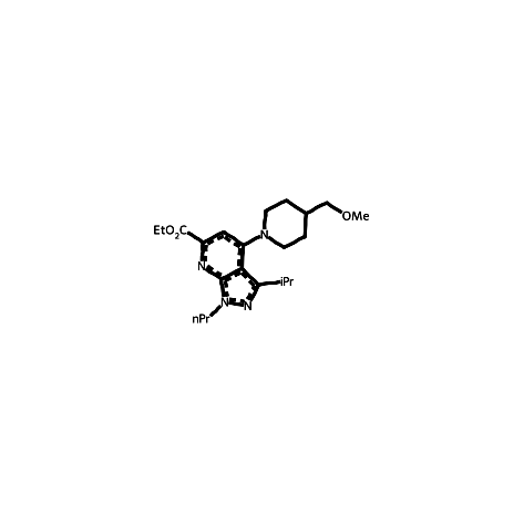 CCCn1nc(C(C)C)c2c(N3CCC(COC)CC3)cc(C(=O)OCC)nc21